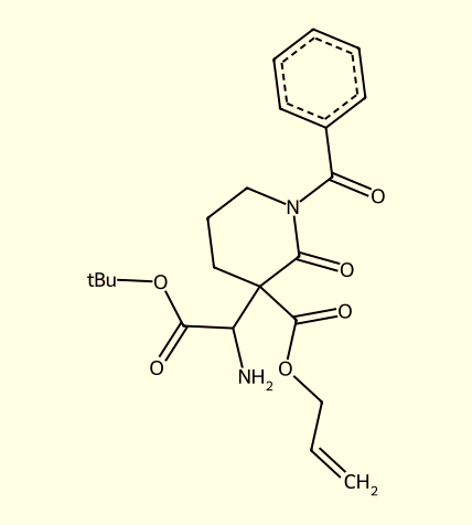 C=CCOC(=O)C1(C(N)C(=O)OC(C)(C)C)CCCN(C(=O)c2ccccc2)C1=O